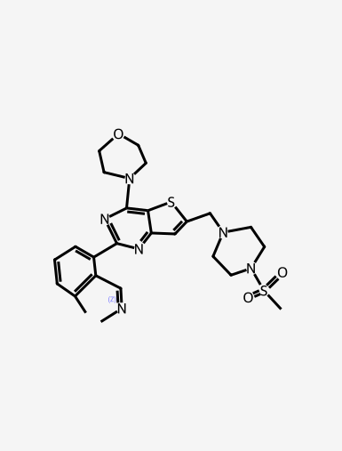 C/N=C\c1c(C)cccc1-c1nc(N2CCOCC2)c2sc(CN3CCN(S(C)(=O)=O)CC3)cc2n1